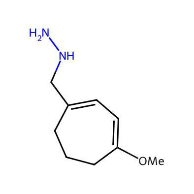 COC1=CC=C(CNN)CCC1